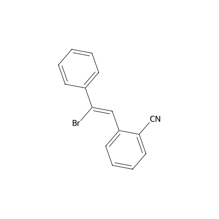 N#Cc1ccccc1/C=C(\Br)c1ccccc1